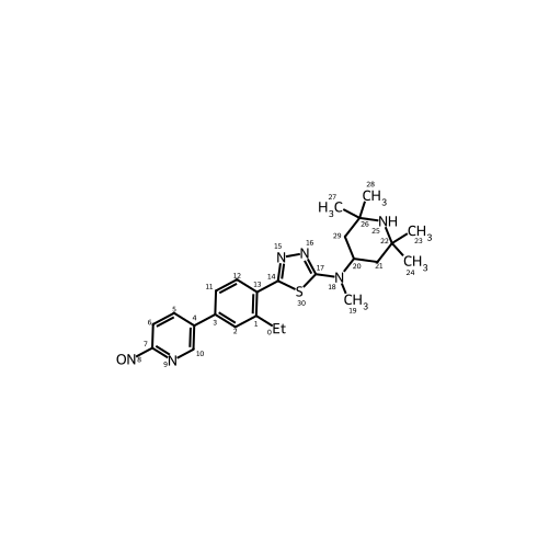 CCc1cc(-c2ccc(N=O)nc2)ccc1-c1nnc(N(C)C2CC(C)(C)NC(C)(C)C2)s1